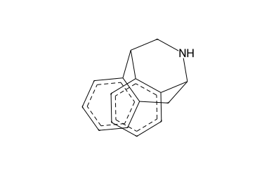 c1ccc2c(c1)CC1NCC2c2ccccc21